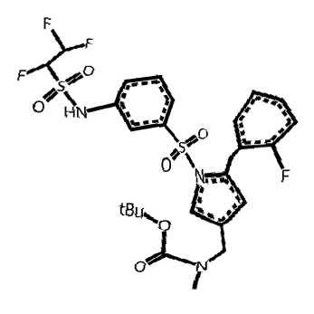 CN(Cc1cc(-c2ccccc2F)n(S(=O)(=O)c2cccc(NS(=O)(=O)C(F)C(F)F)c2)c1)C(=O)OC(C)(C)C